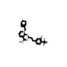 O=C(O)C1=CC=CN(CC2CC3CCC2C3)C1SCCCc1ccc(C(F)(F)F)c(F)c1